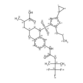 CCOc1sc(C2CC2)nc1S(=O)(=O)N1CC(CC(C)C(=O)O)Oc2ccc(NC(=O)OC(C)(C)C(F)(F)F)cc21